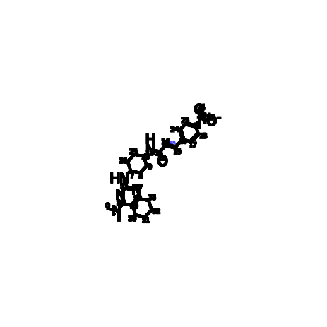 CN(C)c1nc(NC2CCC(NC(=O)/C=C/c3ccc([N+](=O)[O-])cc3)CC2)nc2c1CCCC2